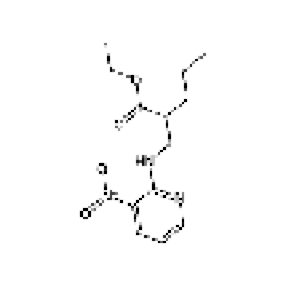 CCCC(CNc1ncccc1[N+](=O)[O-])C(=O)OCC